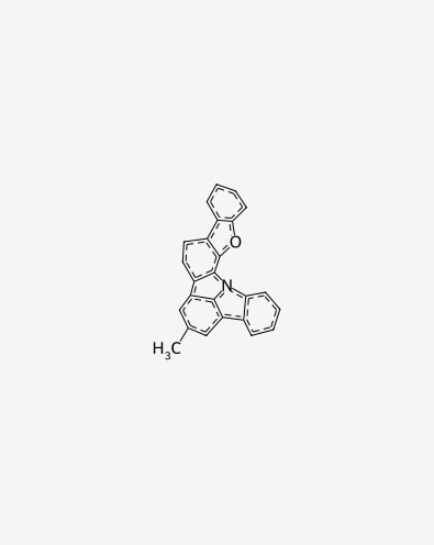 Cc1cc2c3ccccc3n3c2c(c1)c1ccc2c4ccccc4oc2c13